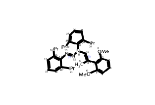 COc1cccc(OC)c1/C(C)=C/N(/N=N/c1c(C(C)C)cccc1C(C)C)c1c(C(C)C)cccc1C(C)C